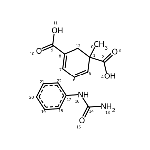 CC1(C(=O)O)C=CC=C(C(=O)O)C1.NC(=O)Nc1ccccc1